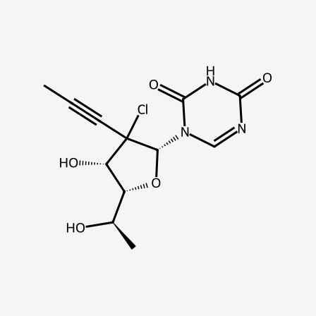 CC#CC1(Cl)[C@@H](O)[C@@H]([C@@H](C)O)O[C@H]1n1cnc(=O)[nH]c1=O